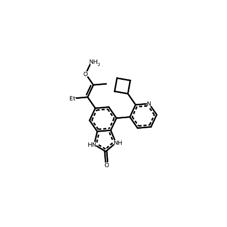 CC/C(=C(/C)ON)c1cc(-c2cccnc2C2CCC2)c2[nH]c(=O)[nH]c2c1